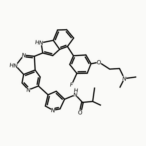 CC(C)C(=O)Nc1cncc(-c2cc3c(-c4cc5c(-c6cc(F)cc(OCCN(C)C)c6)cccc5[nH]4)n[nH]c3cn2)c1